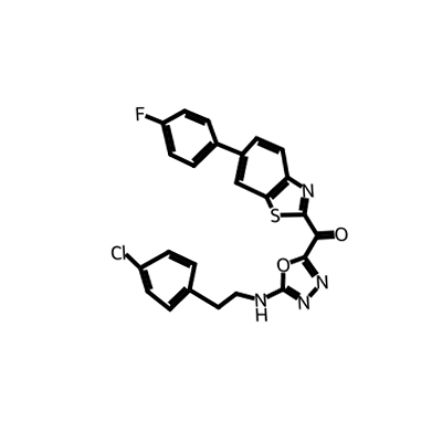 O=C(c1nnc(NCCc2ccc(Cl)cc2)o1)c1nc2ccc(-c3ccc(F)cc3)cc2s1